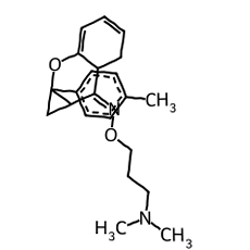 Cc1ccc(C23CC2C(=NOCCCN(C)C)C2CC=CC=C2O3)cc1